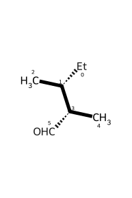 CC[C@@H](C)[C@H](C)C=O